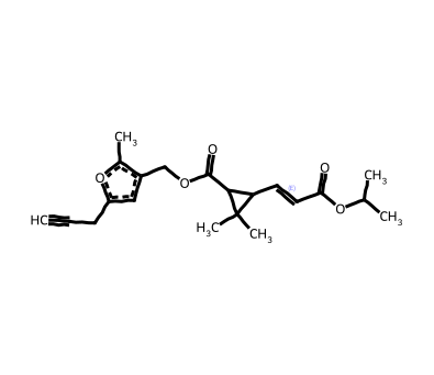 C#CCc1cc(COC(=O)C2C(/C=C/C(=O)OC(C)C)C2(C)C)c(C)o1